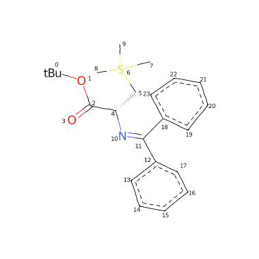 CC(C)(C)OC(=O)[C@H](CS(C)(C)C)N=C(c1ccccc1)c1ccccc1